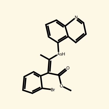 COC(=O)C(=C(C)[AsH]c1cccc2ncccc12)c1ccccc1Br